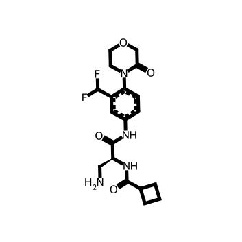 NC[C@H](NC(=O)C1CCC1)C(=O)Nc1ccc(N2CCOCC2=O)c(C(F)F)c1